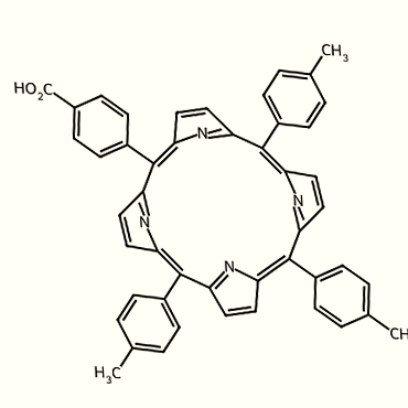 Cc1ccc(C2=C3C=CC(=N3)C(c3ccc(C)cc3)=C3C=CC(=N3)C(c3ccc(C(=O)O)cc3)=C3C=CC(=N3)C(c3ccc(C)cc3)=C3C=CC2=N3)cc1